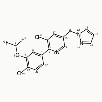 FC(F)Oc1cc(-c2ncc(Cn3cccn3)cc2Cl)ccc1Cl